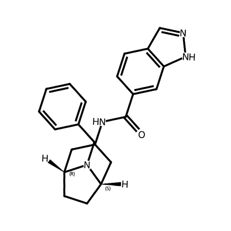 O=C(NC1C[C@H]2CC[C@@H](C1)N2Cc1ccccc1)c1ccc2cn[nH]c2c1